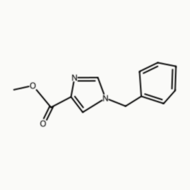 COC(=O)c1cn(Cc2ccccc2)cn1